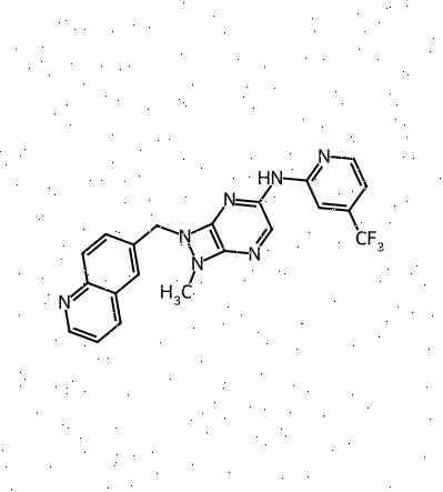 Cn1c2ncc(Nc3cc(C(F)(F)F)ccn3)nc2n1Cc1ccc2ncccc2c1